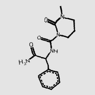 CN1CCCN(C(=O)NC(C(N)=O)c2ccccc2)C1=O